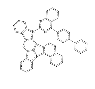 c1ccc(-c2ccc(-c3nc(-n4c5ccccc5c5cc6c7ccccc7n7c8c9ccccc9ccc8c(c54)c67)nc4ccccc34)cc2)cc1